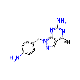 [2H]c1nc(N)nc2c1cnn2Cc1ccc(N)cc1